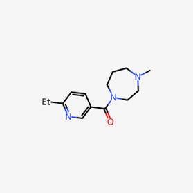 CCc1ccc(C(=O)N2CCCN(C)CC2)cn1